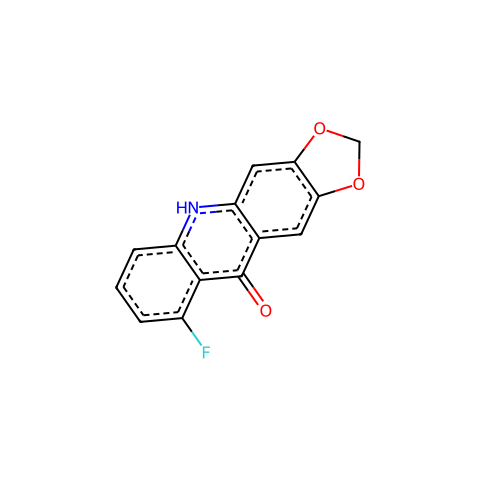 O=c1c2cc3c(cc2[nH]c2cccc(F)c12)OCO3